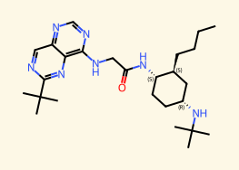 CCCC[C@H]1C[C@H](NC(C)(C)C)CC[C@@H]1NC(=O)CNc1ncnc2cnc(C(C)(C)C)nc12